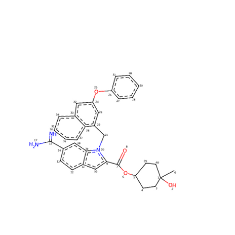 CC1(O)CCC(OC(=O)c2cc3ccc(C(=N)N)cc3n2Cc2cc(Oc3ccccc3)cc3ccccc23)CC1